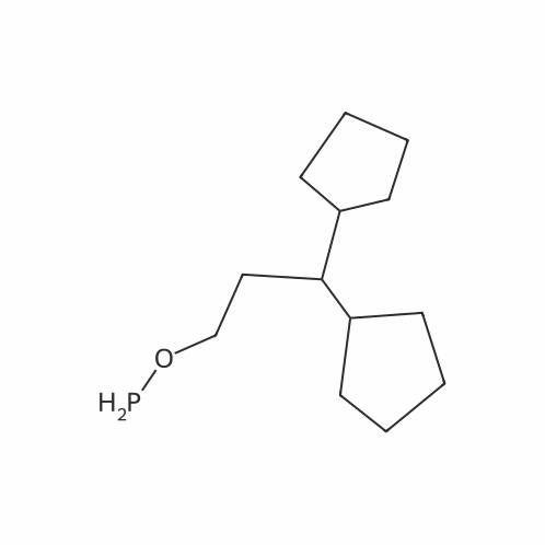 POCCC(C1CCCC1)C1CCCC1